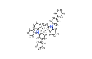 CC1(C2CC=CC3c4ccccc4N(c4cccc(C5=CC=CCC5)c4)C32)C=CC2C(C1)C1C=CC=CC1N2C1=CC=C(C2CC=CCC2)CC1